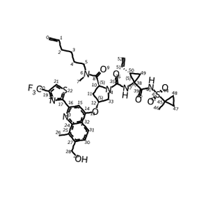 C=CCCCCN(C)C(=O)[C@@H]1C[C@H](Oc2cc(-c3nc(C(F)(F)F)cs3)nc3c(C)c(CO)ccc23)CN1C(=O)N[C@]1(C(=O)NS(=O)(=O)C2(C)CC2)C[C@H]1C=C